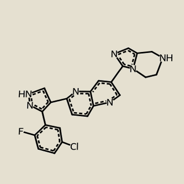 Fc1ccc(Cl)cc1-c1n[nH]cc1-c1ccc2ncc(-c3ncc4n3CCNC4)cc2n1